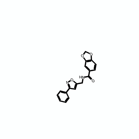 O=C(NCc1cc(-c2ccccc2)no1)c1ccc2c(c1)OCO2